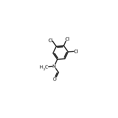 CN(C=O)c1cc(Cl)c(Cl)c(Cl)c1